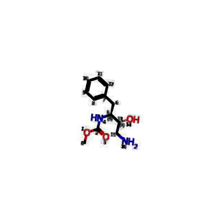 COC(=O)N[C@@H](Cc1ccccc1)[C@H](O)CN